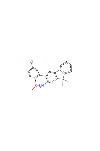 COc1ccc(Cl)cc1-c1cc2c(cc1N)C(C)(C)c1ccccc1-2